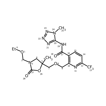 CCOCN1CC(C)(COCc2nc(C(F)(F)F)ccc2C(=O)Nc2nnnn2C)OC1=O